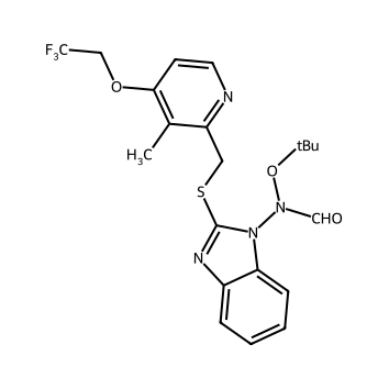 Cc1c(OCC(F)(F)F)ccnc1CSc1nc2ccccc2n1N(C=O)OC(C)(C)C